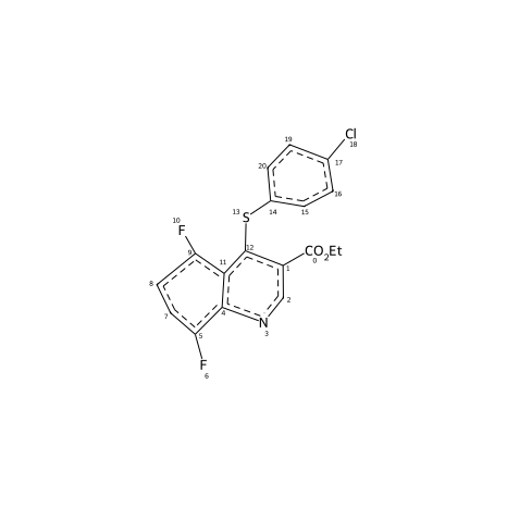 CCOC(=O)c1cnc2c(F)ccc(F)c2c1Sc1ccc(Cl)cc1